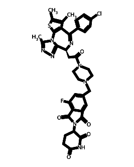 Cc1sc2c(c1C)C(c1ccc(Cl)cc1)=N[C@@H](CC(=O)N1CCN(Cc3cc(F)c4c(c3)C(=O)N(C3CCC(=O)NC3=O)C4=O)CC1)c1nnc(C)n1-2